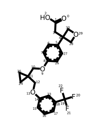 O=C(O)CC1(c2ccc(OCC3(COc4cccc(C(F)(F)F)c4)CC3)cc2)COC1